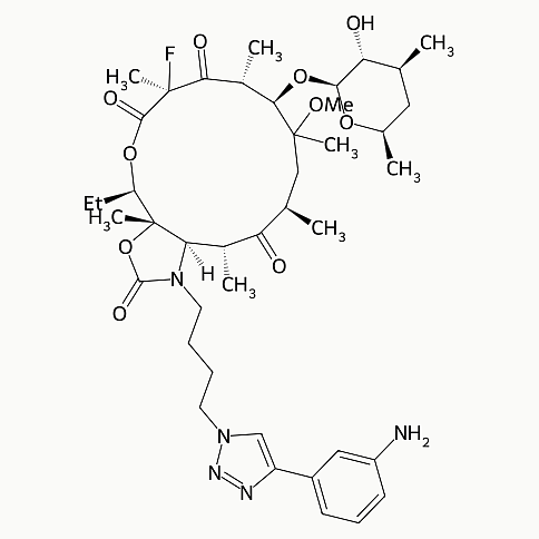 CC[C@H]1OC(=O)[C@@](C)(F)C(=O)[C@H](C)[C@@H](O[C@@H]2O[C@H](C)C[C@H](C)[C@H]2O)C(C)(OC)C[C@@H](C)C(=O)[C@H](C)[C@H]2N(CCCCn3cc(-c4cccc(N)c4)nn3)C(=O)O[C@]12C